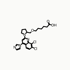 O=C(O)CCCCCOCC1CCCN1c1cc(-n2ccnc2)c2ccc(Cl)c(Cl)c2n1